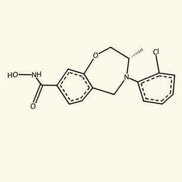 C[C@H]1COc2cc(C(=O)NO)ccc2CN1c1ccccc1Cl